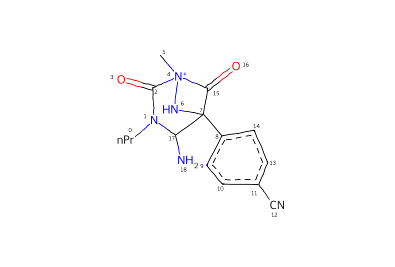 CCCN1C(=O)[N+]2(C)NC(c3ccc(C#N)cc3)(C2=O)C1N